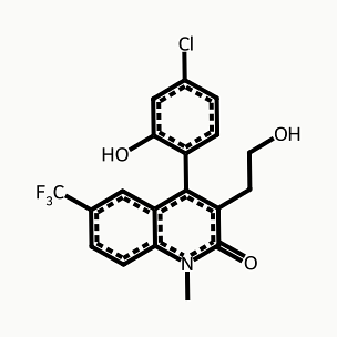 Cn1c(=O)c(CCO)c(-c2ccc(Cl)cc2O)c2cc(C(F)(F)F)ccc21